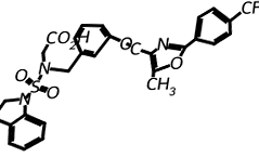 Cc1oc(-c2ccc(C(F)(F)F)cc2)nc1COc1cccc(CN(CC(=O)O)S(=O)(=O)N2CCc3ccccc32)c1